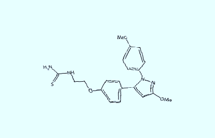 COc1ccc(-n2nc(OC)cc2-c2ccc(OCCNC(N)=S)cc2)cc1